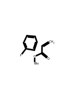 C=CC(=O)OC(C)(C)C.Fc1ccccc1